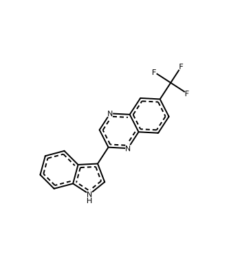 FC(F)(F)c1ccc2nc(-c3c[nH]c4ccccc34)cnc2c1